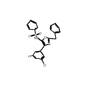 O=S(=O)(Nc1oc(Cc2ccccc2)nc1-c1cc(Cl)cc(Cl)c1)c1ccccc1